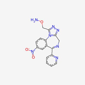 NOCc1nnc2n1-c1ccc([N+](=O)[O-])cc1C(c1ccccn1)=NC2